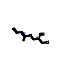 C=C/C=C(\C)OC[C@H](O)CCl